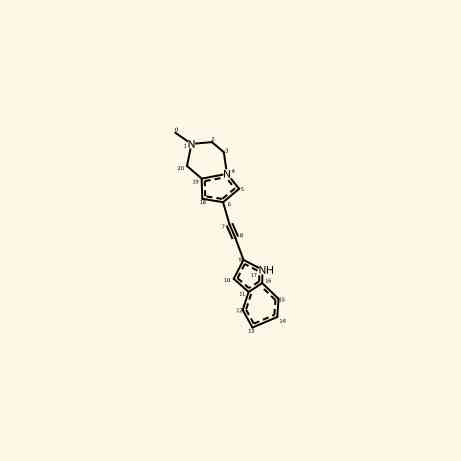 CN1CCn2cc(C#Cc3cc4ccccc4[nH]3)cc2C1